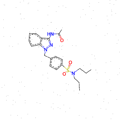 CCCN(CCC)S(=O)(=O)c1ccc(Cn2nc(NC(C)=O)c3ccccc32)cc1